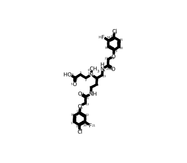 CN(CCC(=O)O)C(CCNC(=O)COc1ccc(Cl)c(F)c1)CNC(=O)COc1ccc(Cl)c(F)c1